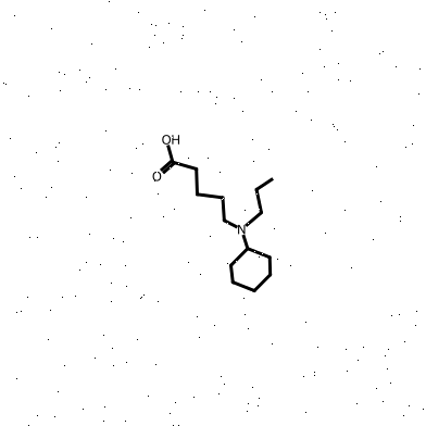 CCCN(CCCCC(=O)O)C1CCCCC1